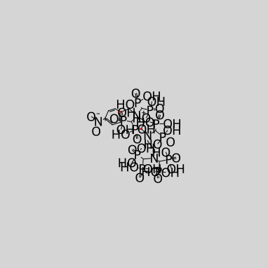 O=[N+]([O-])c1ccc(C[N+](CCN(CCN(C(P(=O)(O)O)P(=O)(O)O)C(P(=O)(O)O)P(=O)(O)O)C(P(=O)(O)O)P(=O)(O)O)(C(P(=O)(O)O)P(=O)(O)O)C(P(=O)(O)O)P(=O)(O)O)cc1